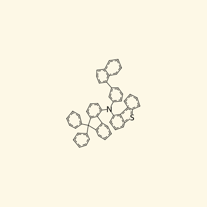 c1ccc(C2(c3ccccc3)c3ccccc3-c3c(N(c4cccc(-c5cccc6ccccc56)c4)c4cccc5sc6ccccc6c45)cccc32)cc1